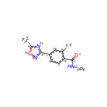 CC(C)NC(=O)c1ccc(-c2noc(C(F)(F)F)n2)cc1F